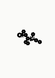 C=C1CC(c2ccc(C3C=CC=CC3)cc2)=NC(c2ccccc2)=NC1c1cc(-c2cccc(-c3nc4cc(c3-c3ccccc3)C/C=C\C=C/4)c2)cc(-c2cccc3ccccc23)c1